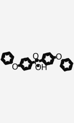 O=P(O)(c1ccc(Oc2ccccc2)cc1)c1ccc(Oc2ccccc2)cc1